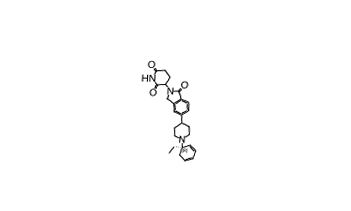 CC[C@]1(N2CCC(c3ccc4c(c3)CN(C3CCC(=O)NC3=O)C4=O)CC2)C=CC=CC1